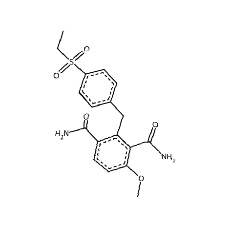 CCS(=O)(=O)c1ccc(Cc2c(C(N)=O)ccc(OC)c2C(N)=O)cc1